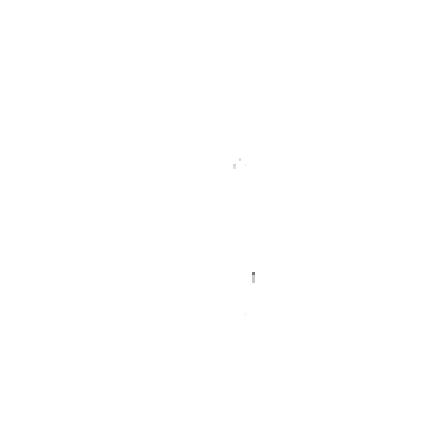 O=C(CCCCCC1COCC[N]1)c1ccccc1